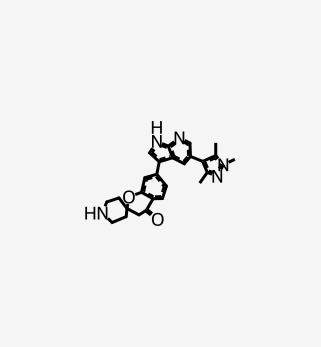 Cc1nn(C)c(C)c1-c1cnc2[nH]cc(-c3ccc4c(c3)OC3(CCNCC3)CC4=O)c2c1